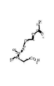 CCN(CC(=O)O)[N+]([O-])=NOCOC(=O)C(C)C